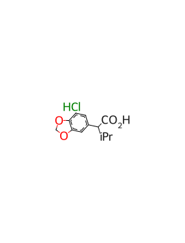 CC(C)C(C(=O)O)c1ccc2c(c1)OCO2.Cl